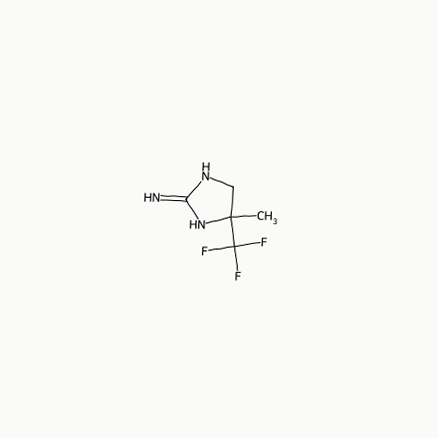 CC1(C(F)(F)F)CNC(=N)N1